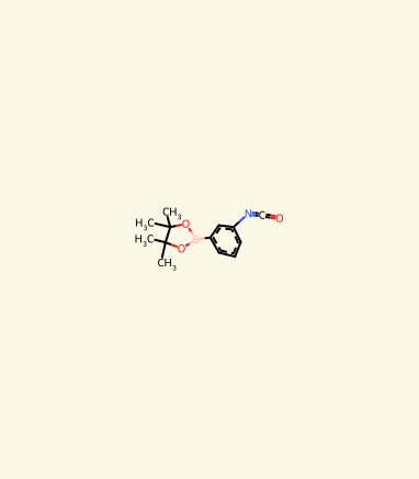 CC1(C)OB(c2cccc(N=C=O)c2)OC1(C)C